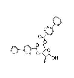 O=C(OC[C@H]1OC(O)[C@@H](F)[C@@H]1OC(=O)c1ccc(-c2ccccc2)cc1)c1ccc(-c2ccccc2)cc1